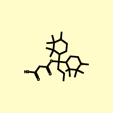 CCCC(OC(=O)CC(=O)O)(C1CCN(C)C(C)(C)C1(C)C)C1CCN(C)C(C)(C)C1(C)C